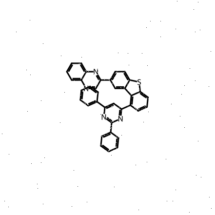 c1ccc(-c2cc(-c3cccc4sc5ccc(-c6cnc7ccccc7n6)cc5c34)nc(-c3ccccc3)n2)cc1